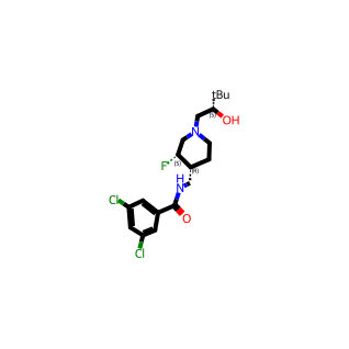 CC(C)(C)[C@H](O)CN1CC[C@H](CNC(=O)c2cc(Cl)cc(Cl)c2)[C@H](F)C1